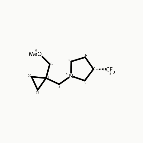 COCC1(CN2CC[C@H](C(F)(F)F)C2)CC1